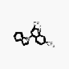 FC(F)(F)c1ccc2c(-n3ccc4ccccc43)cc(C(F)(F)F)nc2c1